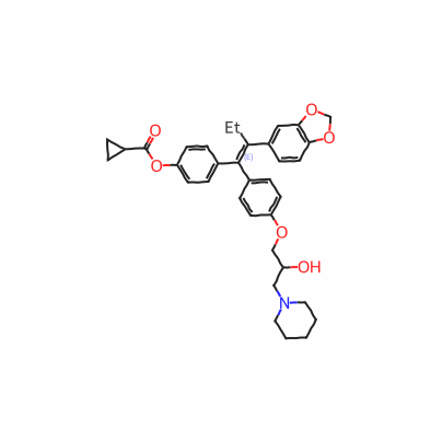 CC/C(=C(/c1ccc(OCC(O)CN2CCCCC2)cc1)c1ccc(OC(=O)C2CC2)cc1)c1ccc2c(c1)OCO2